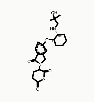 CC(C)(O)CN[C@@H]1CCCC[C@H]1Oc1ccc2c(c1)CN(C1CCC(=O)NC1=O)C2=O